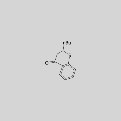 CCCCC1CC(=O)c2ccccc2S1